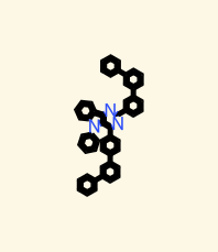 c1ccc(-c2cccc(-c3ccc(-c4nc(-c5cccc(-c6cccc(-c7ccccc7)c6)c5)nc5c6ccccc6n(-c6ccccc6)c45)cc3)c2)cc1